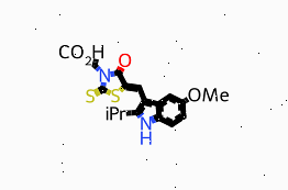 COc1ccc2[nH]c(C(C)C)c(/C=C3\SC(=S)N(CC(=O)O)C3=O)c2c1